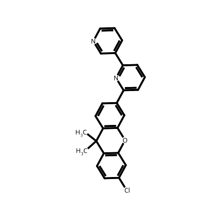 CC1(C)c2ccc(Cl)cc2Oc2cc(-c3cccc(-c4cccnc4)n3)ccc21